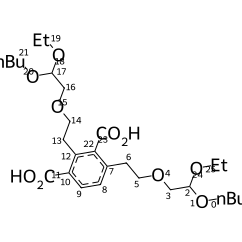 CCCCOC(COCCc1ccc(C(=O)O)c(CCOCC(OCC)OCCCC)c1C(=O)O)OCC